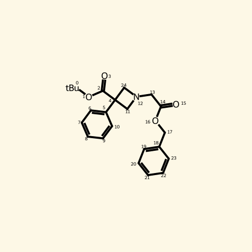 CC(C)(C)OC(=O)C1(c2ccccc2)CN(CC(=O)OCc2ccccc2)C1